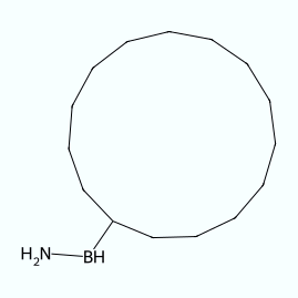 NBC1CCCCCCCCCCCCCC1